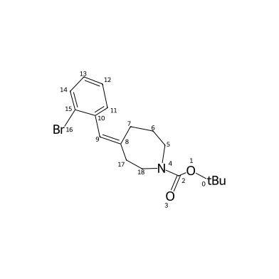 CC(C)(C)OC(=O)N1CCCC(=Cc2ccccc2Br)CC1